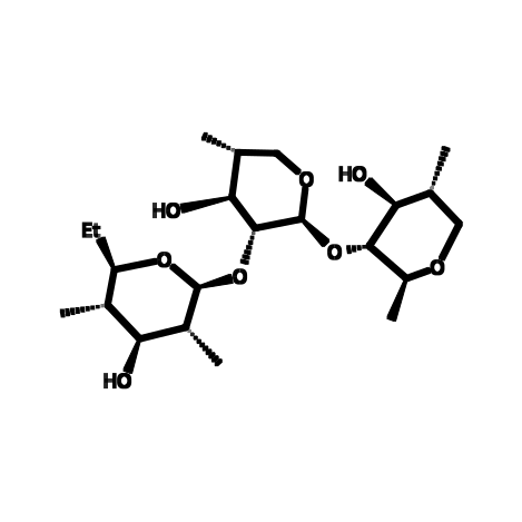 CC[C@H]1O[C@@H](O[C@H]2[C@H](O[C@@H]3[C@@H](O)[C@H](C)CO[C@H]3C)OC[C@@H](C)[C@@H]2O)[C@H](C)[C@@H](O)[C@@H]1C